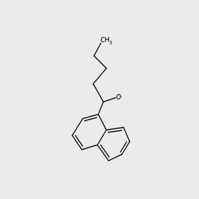 CCCCC([O])c1cccc2ccccc12